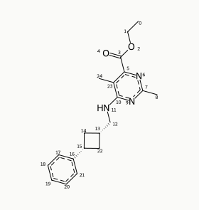 CCOC(=O)c1nc(C)nc(NC[C@H]2C[C@@H](c3ccccc3)C2)c1C